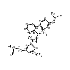 CC(NC(=O)c1cc(OCC(F)F)cc(C(F)(F)F)c1)c1nccnc1-c1ccc(OC(F)F)cn1